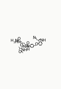 CC(=O)N[C@H](C(=O)N[C@@H](CCCNC(N)=O)C(=O)Nc1ccc(COc2cccc3[nH]cc(CCN(C)C)c23)cc1)C(C)C